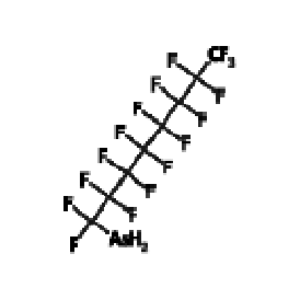 FC(F)(F)C(F)(F)C(F)(F)C(F)(F)C(F)(F)C(F)(F)C(F)(F)C(F)(F)[AsH2]